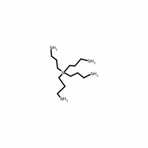 [SiH3]CCC[Si](CCC[SiH3])(CCC[SiH3])CCC[SiH3]